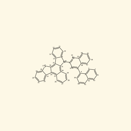 c1ccc2c(-c3nc(-n4c5ccccc5c5c6sc7ccccc7c6c6ccccc6c54)nc4ccccc34)cccc2c1